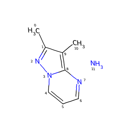 Cc1nn2cccnc2c1C.N